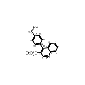 CCOC(=O)c1cnc2ccccc2c1-c1ccc(SF)cc1